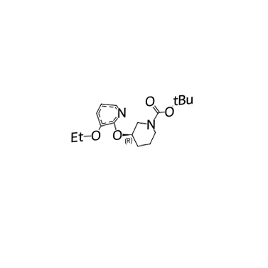 CCOc1cccnc1O[C@@H]1CCCN(C(=O)OC(C)(C)C)C1